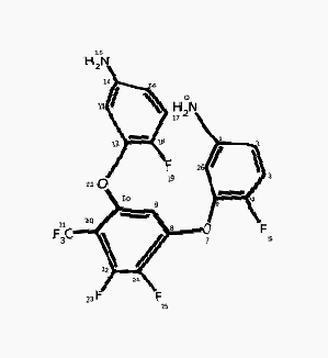 Nc1ccc(F)c(Oc2cc(Oc3cc(N)ccc3F)c(C(F)(F)F)c(F)c2F)c1